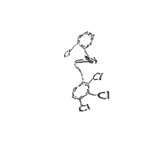 Clc1ccccc1N=Cc1ccc(Cl)c(Cl)c1Cl